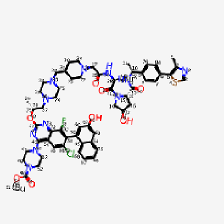 Cc1ncsc1-c1ccc([C@H](C)NC(=O)[C@@H]2C[C@@H](O)CN2C(=O)[C@@H](NC(=O)CN2CCC(CN3CCN(C[C@@H](C)Oc4nc(N5CCN(C(=O)OC(C)(C)C)CC5)c5cc(Cl)c(-c6cc(O)cc7ccccc67)c(F)c5n4)CC3)CC2)C(C)(C)C)cc1